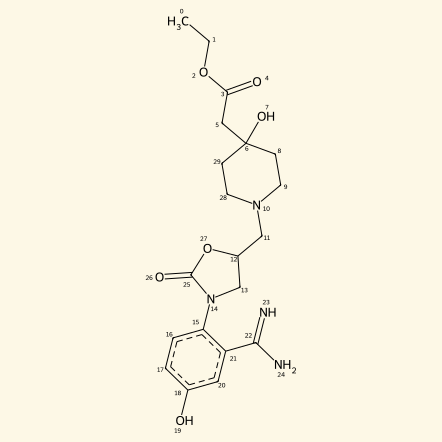 CCOC(=O)CC1(O)CCN(CC2CN(c3ccc(O)cc3C(=N)N)C(=O)O2)CC1